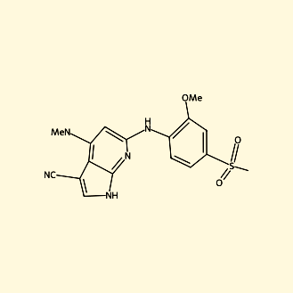 CNc1cc(Nc2ccc(S(C)(=O)=O)cc2OC)nc2[nH]cc(C#N)c12